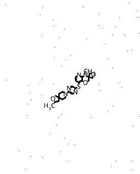 C[C@H]1CC2(CCN(c3cnc(Sc4ccnc5c4OCC4(COC4)N5C)cn3)CC2)CO1